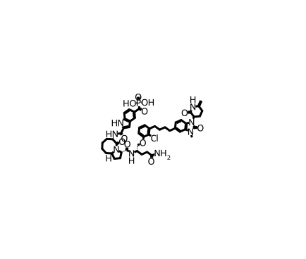 C=C1CCC(n2c(=O)n(C)c3cc(CCCCc4cccc(OC[C@H](CCC(N)=O)NC(=O)[C@@H]5CC[C@@H]6CCCC[C@H](NC(=O)c7cc8cc(C(=O)P(=O)(O)O)ccc8[nH]7)C(=O)N65)c4Cl)ccc32)C(=O)N1